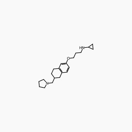 c1cc2c(cc1OCCCNC1CC1)CCC(CN1CCCC1)C2